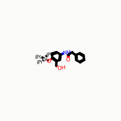 CC(C)[Si](Oc1ccc(NC(=O)Cc2ccccc2)cc1CO)(C(C)C)C(C)C